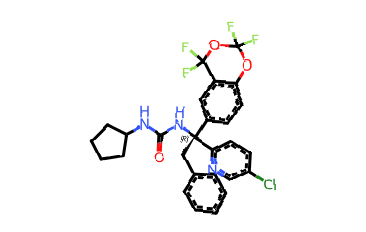 O=C(NC1CCCC1)N[C@](Cc1ccccc1)(c1ccc2c(c1)C(F)(F)OC(F)(F)O2)c1ccc(Cl)cn1